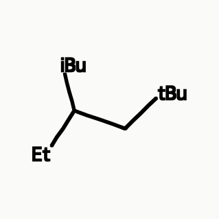 [CH2]C(C)(C)CC(CC)C(C)CC